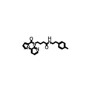 Cc1ccc(CCNC(=O)CCCn2c(=O)c3cccn3c3cccnc32)cc1